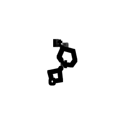 CC[C@H]1CCCN(C2COC2)C1